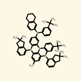 Cc1cc2c3c(c1)N(c1cccc4c1CC(C)(C)C4)c1cc(C(C)(C)C)ccc1B3c1cc(N(c3cccc(C(C)(C)C)c3)c3ccc4c(c3)CCCC4)ccc1N2c1cccc2c1CC(C)(C)C2